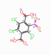 O=C(O)c1c(Cl)c(Cl)c(C(=O)O)c(I(=O)=O)c1Cl